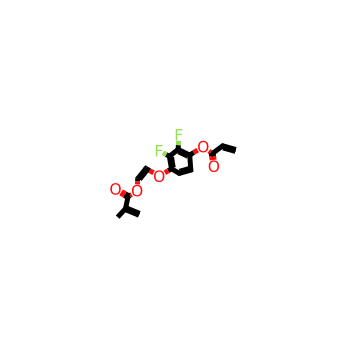 C=CC(=O)Oc1ccc(O/C=C\OC(=O)C(=C)C)c(F)c1F